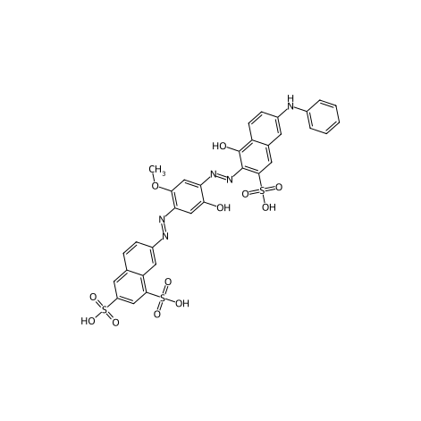 COc1cc(N=Nc2c(S(=O)(=O)O)cc3cc(Nc4ccccc4)ccc3c2O)c(O)cc1N=Nc1ccc2cc(S(=O)(=O)O)cc(S(=O)(=O)O)c2c1